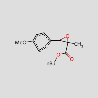 CCCCOC(=O)C1(C)OC1c1ccc(OC)cc1